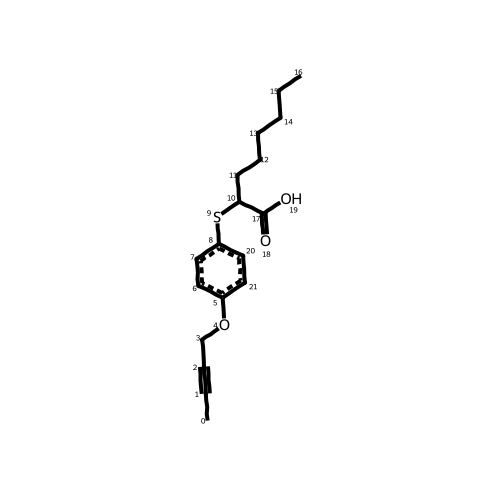 CC#CCOc1ccc(SC(CCCCCC)C(=O)O)cc1